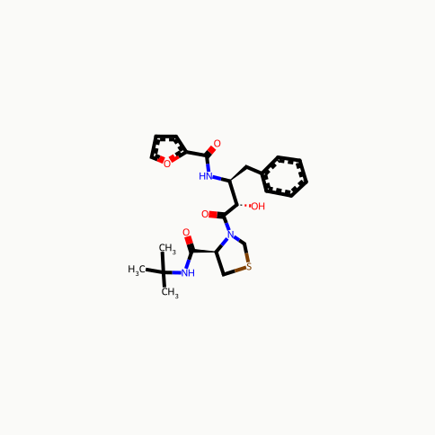 CC(C)(C)NC(=O)[C@@H]1CSCN1C(=O)[C@@H](O)[C@H](Cc1ccccc1)NC(=O)c1ccco1